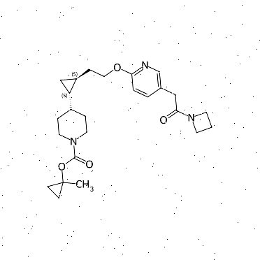 CC1(OC(=O)N2CCC([C@@H]3C[C@H]3CCOc3ccc(CC(=O)N4CCC4)cn3)CC2)CC1